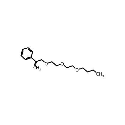 C=C(COCCOCCOCCCC)c1ccccc1